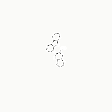 CC(C)(C)c1cc2ccccc2nc1-c1cccc2c1oc1ccccc12